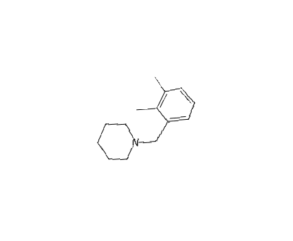 Cc1cccc(CN2CCCCC2)c1C